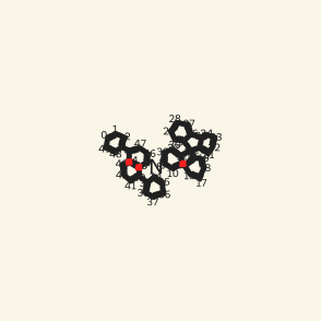 c1ccc(-c2ccc(N(c3ccc(C4(c5ccccc5)c5ccccc5-c5ccccc54)cc3)c3ccccc3-c3ccccc3)cc2)cc1